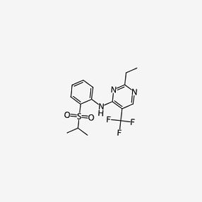 CCc1ncc(C(F)(F)F)c(Nc2ccccc2S(=O)(=O)C(C)C)n1